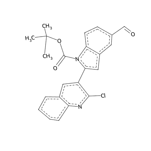 CC(C)(C)OC(=O)n1c(-c2cc3ccccc3nc2Cl)cc2cc(C=O)ccc21